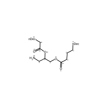 CCCCCCCCCCCCCC(=O)OCC(CN)OC(=O)CCCCCCCCCCC